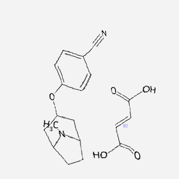 CN1C2CCC1CC(Oc1ccc(C#N)cc1)C2.O=C(O)/C=C/C(=O)O